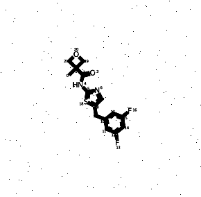 CC1(C(=O)Nc2ncc(Cc3cc(F)cc(F)c3)s2)COC1